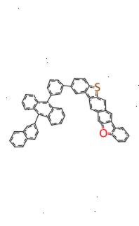 c1cc(-c2ccc3sc4cc5cc6c(cc5cc4c3c2)oc2ccccc26)cc(-c2c3ccccc3c(-c3ccc4ccccc4c3)c3ccccc23)c1